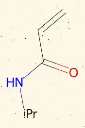 [CH2]C(C)NC(=O)C=C